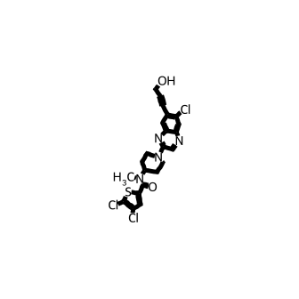 CN(C(=O)c1cc(Cl)c(Cl)s1)C1CCN(c2cnc3cc(Cl)c(C#CCO)cc3n2)CC1